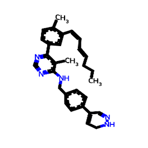 CCC/C=C/C=C\c1cc(-c2ncnc(NCc3ccc(C4=CCNN=C4)cc3)c2C)ccc1C